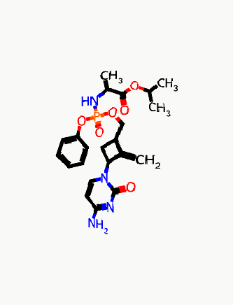 C=C1C(COP(=O)(NC(C)C(=O)OC(C)C)Oc2ccccc2)CC1n1ccc(N)nc1=O